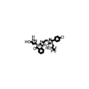 O=C(Nc1cc(O)[nH]n1)c1ccccc1-n1cnc(Cn2nc(-c3ccc(Cl)cc3)n(C[C@H](O)C(F)(F)F)c2=O)n1